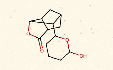 O=C1OC2C3CC(CC13)C2C1CCCC(O)O1